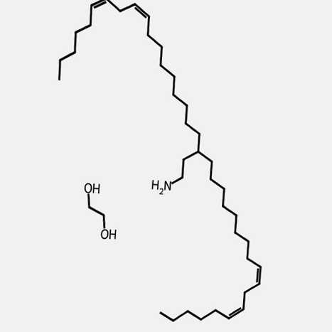 CCCCC/C=C\C/C=C\CCCCCCCCC(CCN)CCCCCCCC/C=C\C/C=C\CCCCC.OCCO